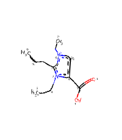 CCc1n(CC)c(C(=O)O)c[n+]1C